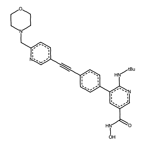 CC(C)(C)Nc1ncc(C(=O)NO)cc1-c1ccc(C#Cc2ccc(CN3CCOCC3)nc2)cc1